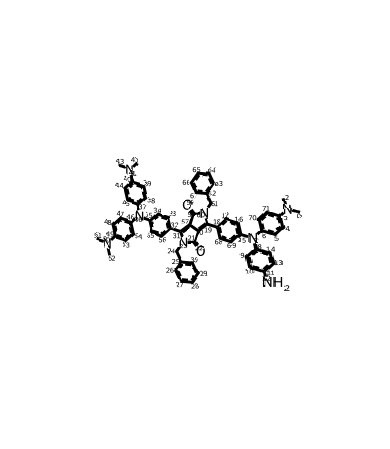 CN(C)c1ccc(N(c2ccc(N)cc2)c2ccc(C3=C4C(=O)N(Cc5ccccc5)C(c5ccc(N(c6ccc(N(C)C)cc6)c6ccc(N(C)C)cc6)cc5)=C4C(=O)N3Cc3ccccc3)cc2)cc1